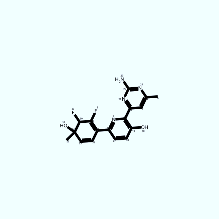 Cc1cc(-c2nc(C3=C(F)C(F)C(C)(O)C=C3)ccc2O)nc(N)n1